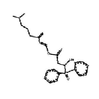 C=C(C=COC(=O)CC(O)P(=O)(c1ccccc1)c1ccccc1)CCCC(C)C